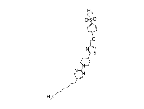 CCCCCCCc1cnc(N2CCC(c3nc(COc4ccc(S(C)(=O)=O)cc4)cs3)CC2)nc1